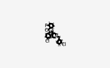 O=C(c1c(F)cccc1F)N1CC2(CCN(Cc3cccc(Cl)c3)CC2)c2cc(Cl)ccc21